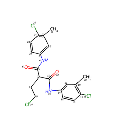 Cc1cc(NC(=O)C(CCCl)C(=O)Nc2ccc(Cl)c(C)c2)ccc1Cl